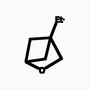 C[CH]C12COC(C1)C2